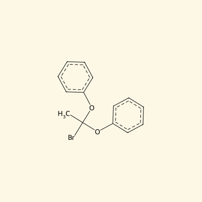 CC(Br)(Oc1ccccc1)Oc1ccccc1